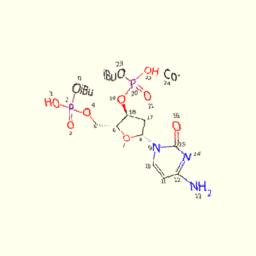 CC(C)COP(=O)(O)OC[C@H]1O[C@@H](n2ccc(N)nc2=O)C[C@@H]1OP(=O)(O)OCC(C)C.[Co]